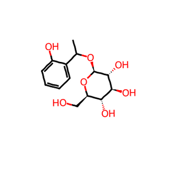 CC(O[C@@H]1O[C@H](CO)[C@@H](O)[C@H](O)[C@H]1O)c1ccccc1O